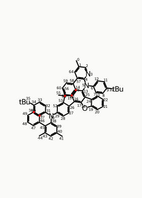 Cc1cnc(N(c2ccc(C(C)(C)C)cc2)c2cc3c(c4oc5ccccc5c24)-c2ccc(N(c4ccc(C(C)(C)C)cc4)c4cc(C)cc(C)c4-c4ccccc4)cc2C3(C)C)c(-c2ccccc2)c1